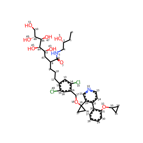 CC[C@@H](O)CNC(=O)C(CCCc1cc(Cl)c(COC2(c3cnccc3-c3ccccc3OC3CC3)CC2)cc1Cl)C[C@H](O)[C@@H](O)[C@H](O)[C@H](O)CO